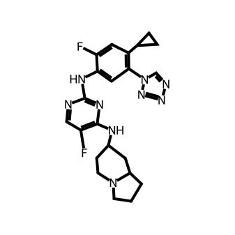 Fc1cc(C2CC2)c(-n2cnnn2)cc1Nc1ncc(F)c(NC2CCN3CCCC3C2)n1